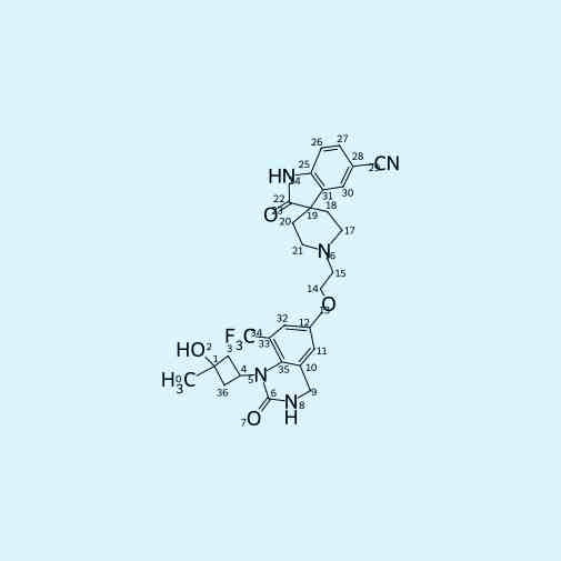 CC1(O)CC(N2C(=O)NCc3cc(OCCN4CCC5(CC4)C(=O)Nc4ccc(C#N)cc45)cc(C(F)(F)F)c32)C1